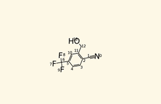 N#Cc1ccc(C(F)(F)F)cc1CO